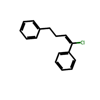 Cl/C(=C/CCc1ccccc1)c1ccccc1